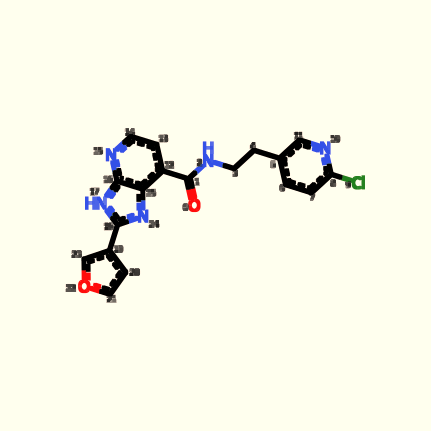 O=C(NCCc1ccc(Cl)nc1)c1ccnc2[nH]c(-c3ccoc3)nc12